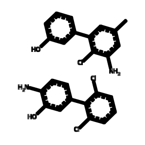 Cc1cc(N)c(Cl)c(-c2cccc(O)c2)c1.Nc1ccc(-c2c(Cl)cccc2Cl)cc1O